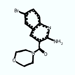 Nc1nc2ccc(Br)cc2cc1C(=O)N1CCOCC1